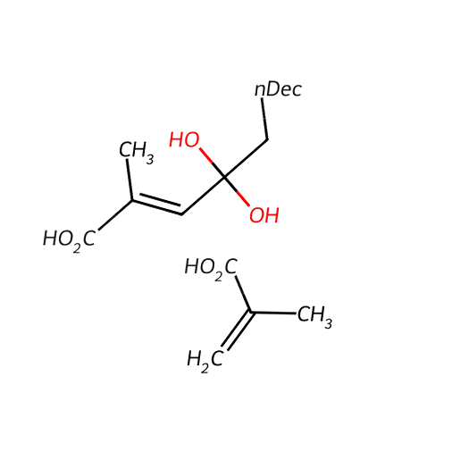 C=C(C)C(=O)O.CCCCCCCCCCCC(O)(O)C=C(C)C(=O)O